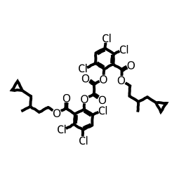 CC(CCOC(=O)c1c(Cl)c(Cl)cc(Cl)c1OC(=O)C(=O)Oc1c(Cl)cc(Cl)c(Cl)c1C(=O)OCCC(C)CC1CC1)CC1CC1